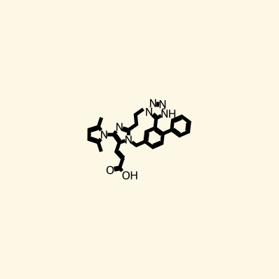 CCCc1nc(-n2c(C)ccc2C)c(C=CC(=O)O)n1Cc1ccc(-c2ccccc2)c(-c2nnn[nH]2)c1